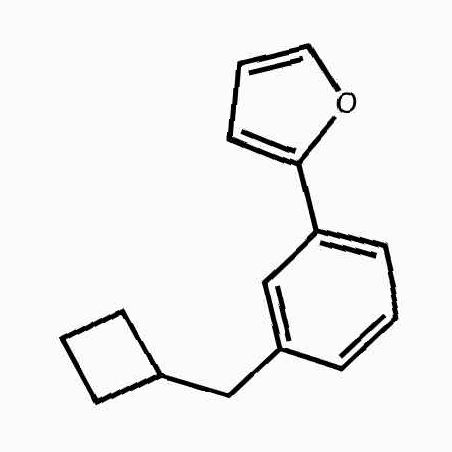 c1cc(CC2CCC2)cc(-c2ccco2)c1